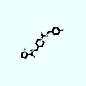 O=C(NCC1CCN(C(=O)OCc2ccc(F)cc2)CC1)c1ccc[nH]1